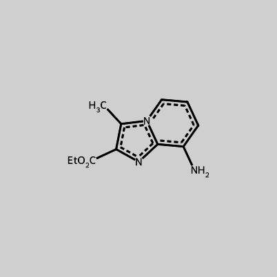 CCOC(=O)c1nc2c(N)cccn2c1C